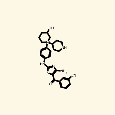 N#Cc1cccc(C(=O)c2sc(Nc3ccc([N+]4(C5CCNCC5)CCCC(O)C4)cc3)nc2N)c1